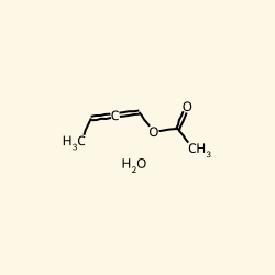 CC=C=COC(C)=O.O